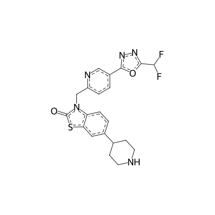 O=c1sc2cc(C3CCNCC3)ccc2n1Cc1ccc(-c2nnc(C(F)F)o2)cn1